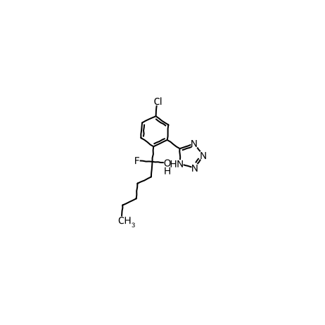 CCCCCC(O)(F)c1ccc(Cl)cc1-c1nnn[nH]1